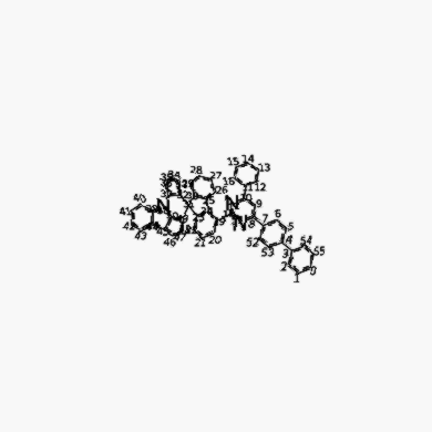 c1ccc(-c2ccc(-c3cc(-c4ccccc4)nc(-c4cccc5c4-c4ccccc4C54c5ccccc5-n5c6ccccc6c6cccc4c65)n3)cc2)cc1